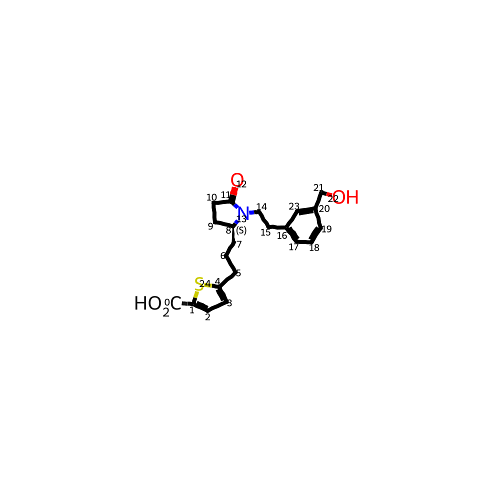 O=C(O)c1ccc(CCC[C@H]2CCC(=O)N2CCc2cccc(CO)c2)s1